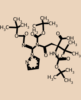 CC(C)(C)OC(=O)N=C(N(C(=O)C[C@@](NC(=O)OC(C)(C)C)(C(=O)O)C(C)(C)C)C(=O)OC(C)(C)C)n1cccn1